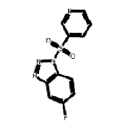 O=S(=O)(c1cccnc1)n1nnc2cc(F)ccc21